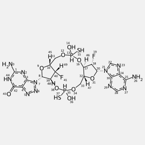 Nc1nc2c(nnn2[C@@H]2O[C@@H]3CO[PH](O)(S)O[C@H]4[C@H](F)[C@H](n5cnc6c(N)ncnc65)O[C@@H]4CO[PH](O)(S)O[C@@H]2[C@H]3F)c(=O)[nH]1